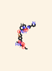 CCCOC(=O)[C@H](C)NP(=O)(Cc1ccc2sc(C(=O)N[C@H]3CCC[C@H]4CC[C@@H](C(=O)N5CC(c6cccnc6)C5)N4C3=O)cc2c1)OCC